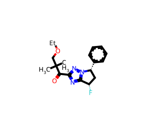 CCOCC(C)(C)C(=O)c1nc2n(n1)[C@H](c1ccccc1)C[C@@H]2F